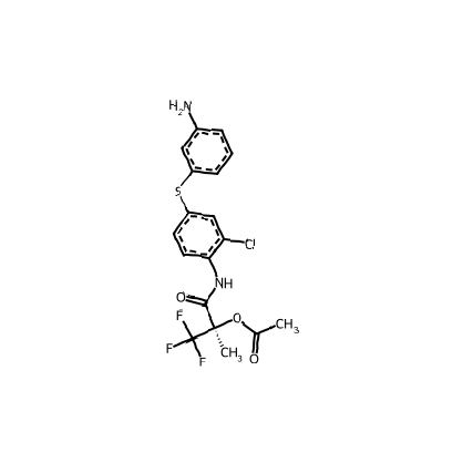 CC(=O)O[C@](C)(C(=O)Nc1ccc(Sc2cccc(N)c2)cc1Cl)C(F)(F)F